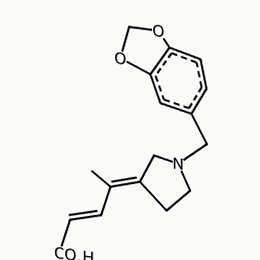 CC(/C=C/C(=O)O)=C1/CCN(Cc2ccc3c(c2)OCO3)C1